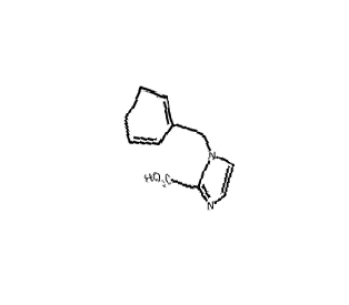 O=C(O)c1nccn1CC1=CCCC=C1